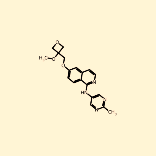 COC1(COc2ccc3c(Nc4cnc(C)nc4)nccc3c2)COC1